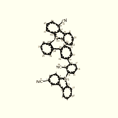 N#Cc1ccc2c(c1)c1ccccc1n2-c1cccc(-c2cccc(-c3ccccc3-n3c4ccccc4c4c(C#N)cccc43)c2)c1C#N